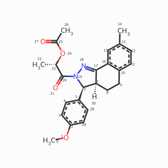 COc1ccc([C@@H]2[C@@H]3CCc4ccc(C)cc4C3=NN2C(=O)[C@H](C)OC(C)=O)cc1